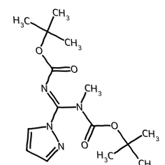 CN(C(=O)OC(C)(C)C)C(=NC(=O)OC(C)(C)C)n1cccn1